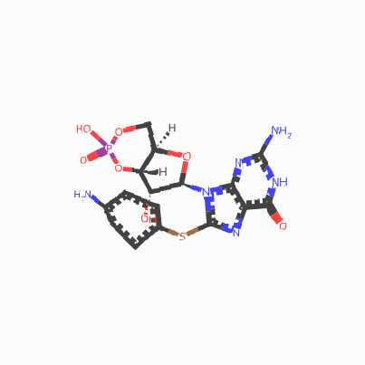 Nc1ccc(Sc2nc3c(=O)[nH]c(N)nc3n2[C@@H]2O[C@@H]3COP(=O)(O)O[C@H]3[C@H]2O)cc1